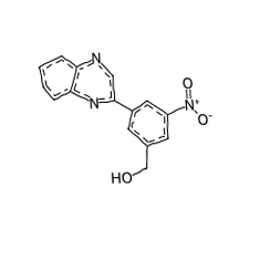 O=[N+]([O-])c1cc(CO)cc(-c2cnc3ccccc3n2)c1